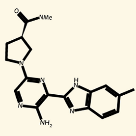 CNC(=O)[C@@H]1CCN(c2cnc(N)c(-c3nc4ccc(C)cc4[nH]3)n2)C1